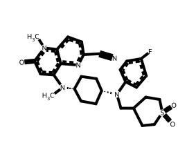 Cn1c(=O)cc(N(C)[C@H]2CC[C@@H](N(CC3CCS(=O)(=O)CC3)c3ccc(F)cc3)CC2)c2nc(C#N)ccc21